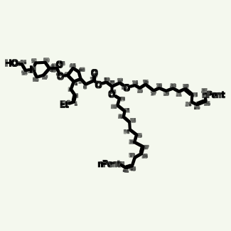 CC/C=C\CC1C(CC(=O)OCC(COCCCCCCCC/C=C\C/C=C\CCCCC)OCCCCCCCC/C=C\C/C=C\CCCCC)CCC1OC(=O)C1CCN(CCO)CC1